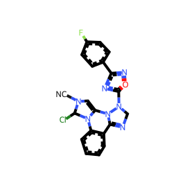 N#CN1C=C2N(c3ccccc3C3=NCN(c4nc(-c5ccc(F)cc5)no4)N23)C1Cl